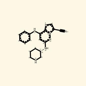 N#Cc1cnc2c(Nc3ccccc3)cc(N[C@H]3CCCNC3)nn12